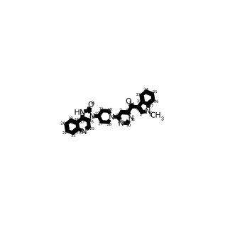 Cn1cc(C(=O)c2cc(N3CCC(n4c(=O)[nH]c5c6ccccc6ncc54)CC3)ncn2)c2ccccc21